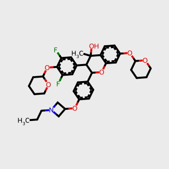 CCCN1CC(Oc2ccc(C3Oc4cc(OC5CCCCO5)ccc4C(C)(O)C3c3cc(F)c(OC4CCCCO4)c(F)c3)cc2)C1